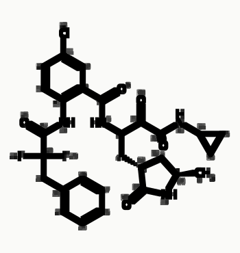 C[C@@H]1C[C@@H](CC(NC(=O)c2cc(Cl)ccc2NC(=O)C(F)(F)Cc2ccccc2)C(=O)C(=O)NC2CC2)C(=O)N1